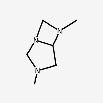 CN1CC2N(C)CN2C1